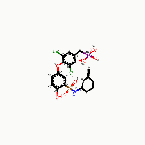 C=C1CCCC(NS(=O)(=O)c2cc(Oc3c(Cl)cc(CP(=O)(O)O)cc3Cl)ccc2O)C1